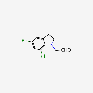 O=CCN1CCc2cc(Br)cc(Cl)c21